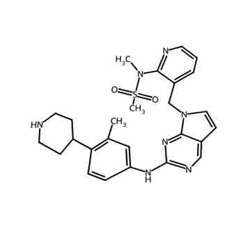 Cc1cc(Nc2ncc3ccn(Cc4cccnc4N(C)S(C)(=O)=O)c3n2)ccc1C1CCNCC1